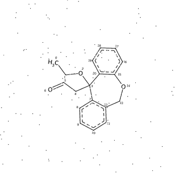 CCOC1(CC=O)c2ccccc2COc2ccccc21